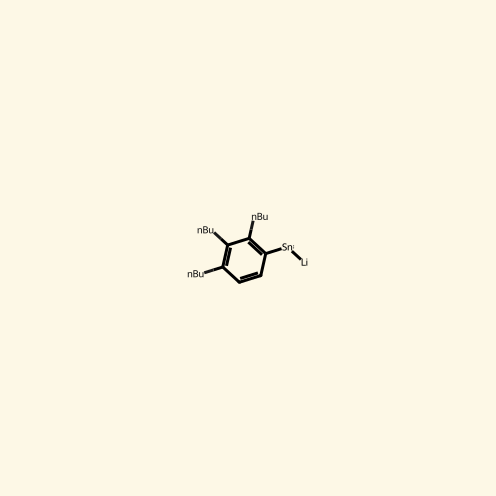 [Li][Sn][c]1ccc(CCCC)c(CCCC)c1CCCC